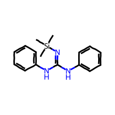 C[Si](C)(C)N=C(Nc1ccccc1)Nc1ccccc1